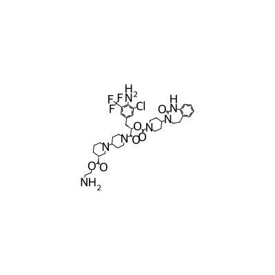 NCCOC(=O)[C@H]1CCCN(C2CCN(C(=O)[C@@H](Cc3cc(Cl)c(N)c(C(F)(F)F)c3)OC(=O)N3CCC(N4CCc5ccccc5NC4=O)CC3)CC2)C1